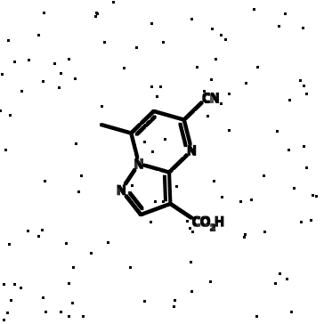 Cc1cc(C#N)nc2c(C(=O)O)cnn12